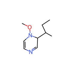 CCC(C)C1C=NC=CN1OC